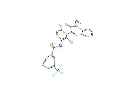 Cn1c(=O)c(-c2c(Cl)ccc(NC(=O)c3cccc(C(F)(F)F)c3)c2Cl)cc2ccccc21